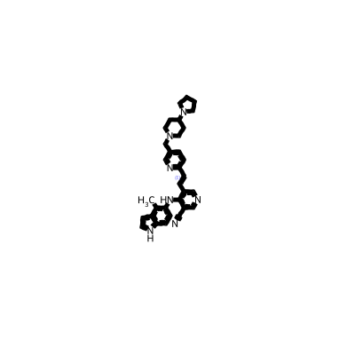 Cc1c(Nc2c(C#N)cncc2/C=C/c2ccc(CN3CCC(N4CCCC4)CC3)cn2)ccc2[nH]ccc12